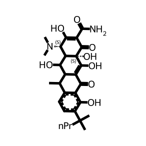 CCCC(C)(C)c1ccc2c(c1O)C(=O)C1=C(O)[C@]3(O)C(=O)C(C(N)=O)=C(O)[C@@H](N(C)C)C3C(O)C1C2C